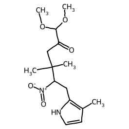 COC(OC)C(=O)CC(C)(C)C(Cc1[nH]ccc1C)[N+](=O)[O-]